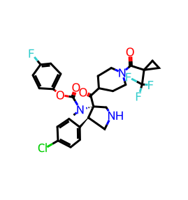 CN(C(=O)Oc1ccc(F)cc1)[C@]1(C(=O)C2CCN(C(=O)C3(C(F)(F)F)CC3)CC2)CNC[C@H]1c1ccc(Cl)cc1